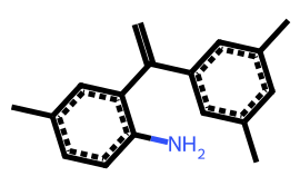 C=C(c1cc(C)cc(C)c1)c1cc(C)ccc1N